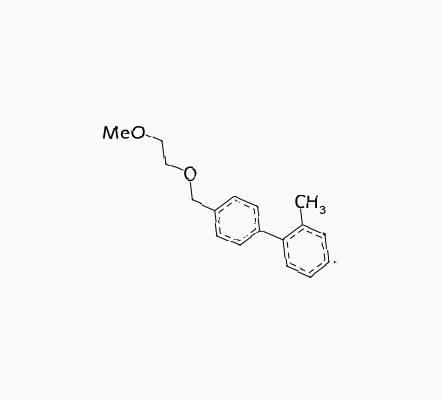 COCCOCc1ccc(-c2cc[c]cc2C)cc1